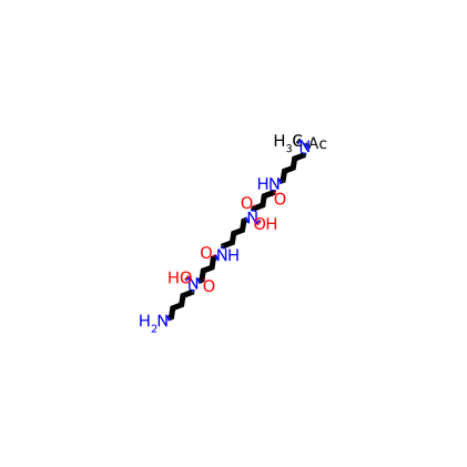 CC(=O)N(C)CCCCCNC(=O)CCC(=O)N(O)CCCCCNC(=O)CCC(=O)N(O)CCCCCN